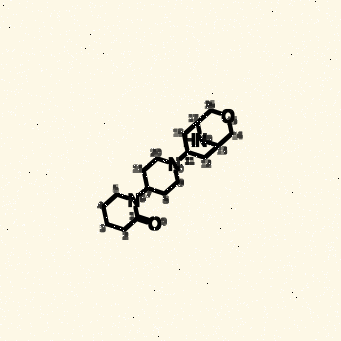 O=C1CCCCN1C1CCN(C2CC3COCC(C2)N3)CC1